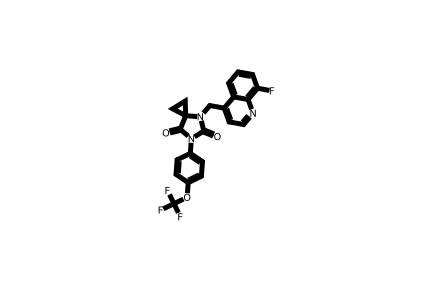 O=C1N(c2ccc(OC(F)(F)F)cc2)C(=O)C2(CC2)N1Cc1ccnc2c(F)cccc12